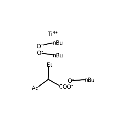 CCC(C(C)=O)C(=O)[O-].CCCC[O-].CCCC[O-].CCCC[O-].[Ti+4]